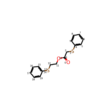 O=C(CSc1ccccc1)OCCSc1ccccc1